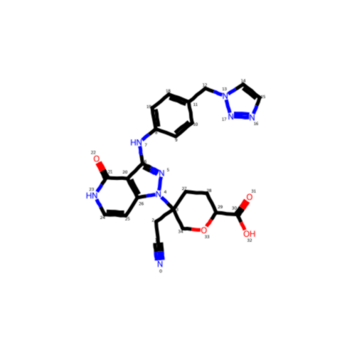 N#CCC1(n2nc(Nc3ccc(Cn4ccnn4)cc3)c3c(=O)[nH]ccc32)CCC(C(=O)O)OC1